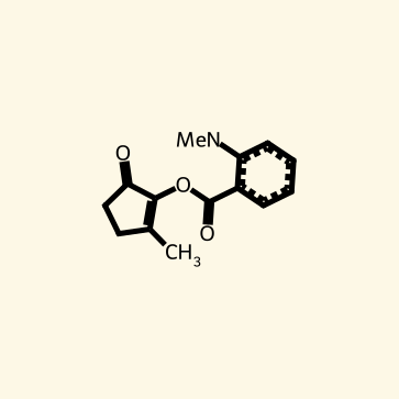 CNc1ccccc1C(=O)OC1=C(C)CCC1=O